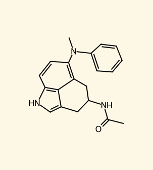 CC(=O)NC1Cc2c[nH]c3ccc(N(C)c4ccccc4)c(c23)C1